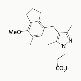 COc1c(C)cc(Cc2c(C)nn(CCC(=O)O)c2C)c2c1CCC2